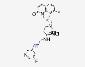 Cl.Cl.O=c1ccc2ccc(F)c3c2n1C[C@H]3CN1CCC(NC/C=C/c2cncc(F)c2)CC1